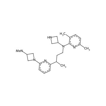 CNC1CN(c2cccc(C(C)CCN(c3nc(C)ccc3C)C3CNC3)n2)C1